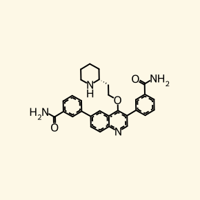 NC(=O)c1cccc(-c2ccc3ncc(-c4cccc(C(N)=O)c4)c(OCC[C@H]4CCCCN4)c3c2)c1